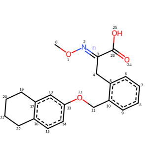 CO/N=C(\Cc1ccccc1COc1ccc2c(c1)CCCC2)C(=O)O